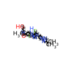 CC(C)c1cnc(N2CCC(n3cc(F)c4c(Nc5ccc(C(=O)N(C)CCCO)cc5F)ncnc43)CC2)nc1